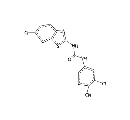 N#Cc1ccc(NC(=O)Nc2nc3ccc(Cl)cc3s2)cc1Cl